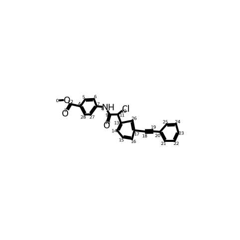 COC(=O)c1ccc(NC(=O)C(Cl)c2cccc(C#Cc3ccccc3)c2)cc1